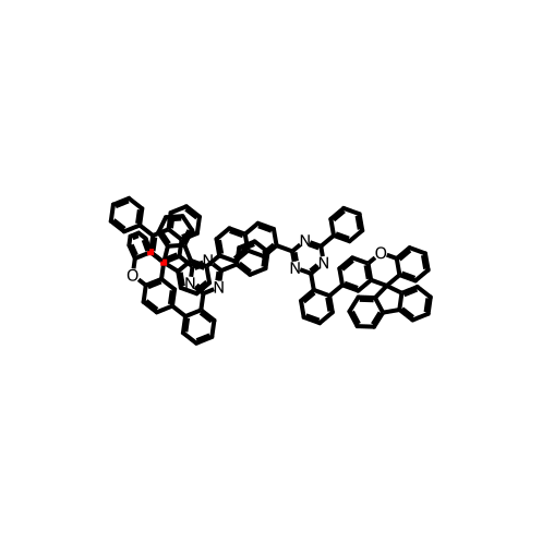 c1ccc(-c2nc(-c3ccc4ccc(-c5cccc6c5-c5ccccc5C65c6ccccc6Oc6ccc(-c7ccccc7-c7nc(-c8ccccc8)nc(-c8ccc(-c9ccccc9)c9ccccc89)n7)cc65)cc4c3)nc(-c3ccccc3-c3ccc4c(c3)C3(c5ccccc5O4)c4ccccc4-c4ccccc43)n2)cc1